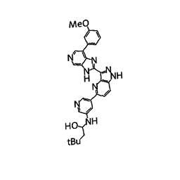 COc1cccc(-c2cncc3[nH]c(-c4n[nH]c5ccc(-c6cncc(NC(O)CC(C)(C)C)c6)nc45)nc23)c1